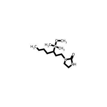 CCCCC(CCN1CCNC1=O)[Si](C)(C)OC